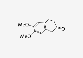 COc1cc2c(cc1OC)CC(=O)CC2